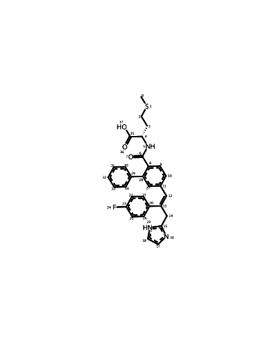 CSCC[C@H](NC(=O)c1ccc(C=C(Cc2ncc[nH]2)c2ccc(F)cc2)cc1-c1ccccc1)C(=O)O